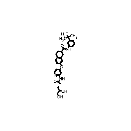 CC(C)(C)c1cccc(NC(=O)C2CCc3ccc(Oc4ccnc(NC(=O)OCC(O)CO)c4)cc3C2)c1